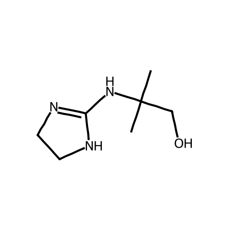 CC(C)(CO)NC1=NCCN1